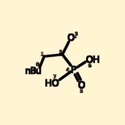 CCCCCC([O])P(=O)(O)O